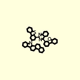 c1ccc2c(c1)ccc1c2ccc2c3ccccc3n(-c3cc(-c4nc(-c5cccc6c5oc5ccccc56)c5ccccc5n4)c4sc5ccccc5c4c3)c12